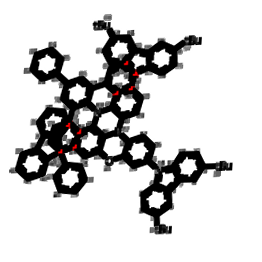 CC(C)(C)c1ccc2c(c1)c1cc(C(C)(C)C)ccc1n2-c1ccc2c(c1)Oc1cc(C3(c4ccccc4)c4ccccc4-c4ccccc43)cc3c1B2c1ccc(-n2c4ccc(C(C)(C)C)cc4c4cc(C(C)(C)C)ccc42)cc1N3c1c(-c2ccccc2)cc(-c2ccccc2)cc1-c1ccccc1